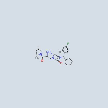 CC1CC(C#N)N(C(=O)C(N)CN2C[C@@H]3CC2C(=O)N3[C@H](c2ccc(F)cc2)C2CCCCC2)C1